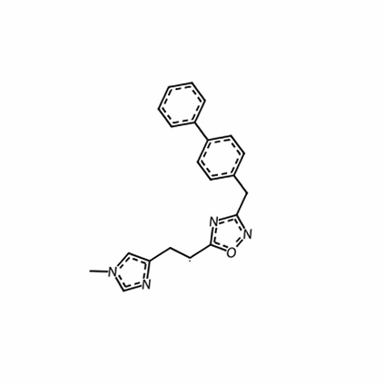 Cn1cnc(C[CH]c2nc(Cc3ccc(-c4ccccc4)cc3)no2)c1